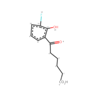 O=C(O)CCCCC(=O)c1cccc(F)c1O